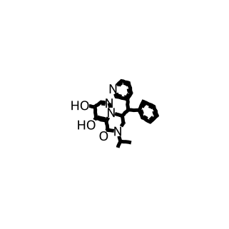 CC(C)N1CC(C(c2ccccc2)c2cccnc2)N2N=CC(O)C(O)=C2C1=O